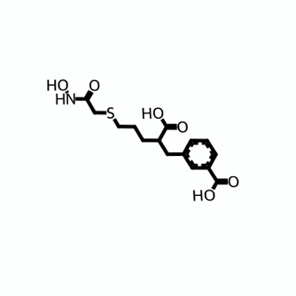 O=C(CSCCCC(Cc1cccc(C(=O)O)c1)C(=O)O)NO